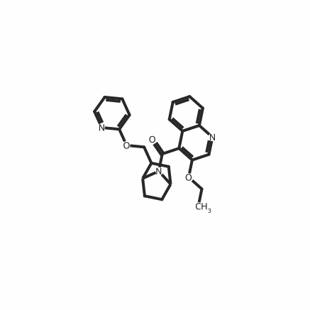 CCOc1cnc2ccccc2c1C(=O)N1C2CCC1C(COc1ccccn1)C2